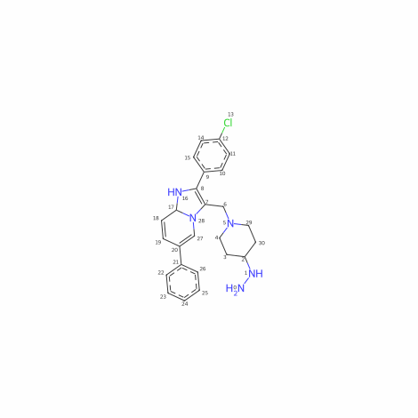 NNC1CCN(CC2=C(c3ccc(Cl)cc3)NC3C=CC(c4ccccc4)=CN23)CC1